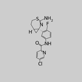 NC1=N[C@@]2(c3cc(NC(=O)c4ccc(Cl)cn4)ccc3F)C[C@H]2CCS1